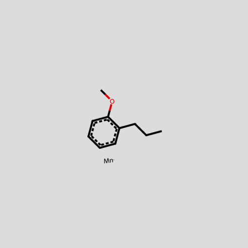 CCCc1ccccc1OC.[Mn]